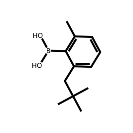 Cc1cccc(CC(C)(C)C)c1B(O)O